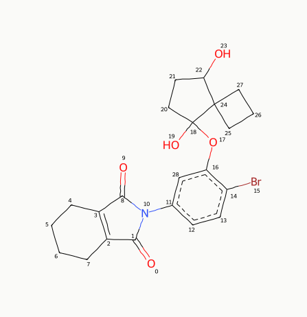 O=C1C2=C(CCCC2)C(=O)N1c1ccc(Br)c(OC2(O)CCC(O)C23CCC3)c1